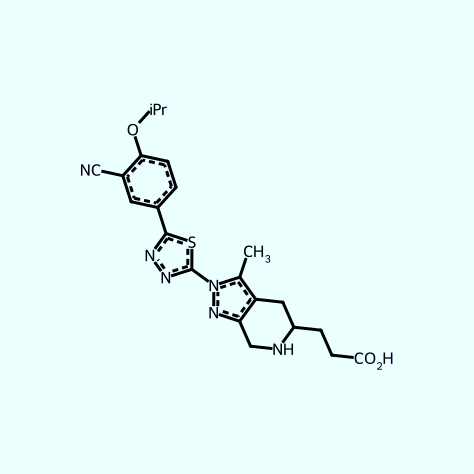 Cc1c2c(nn1-c1nnc(-c3ccc(OC(C)C)c(C#N)c3)s1)CNC(CCC(=O)O)C2